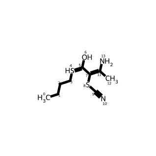 CCCC/[SH]=C(O)\C(SC#N)=C(\C)N